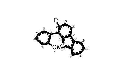 COc1ccccc1-c1c(F)ccc2c1oc1ccccc12